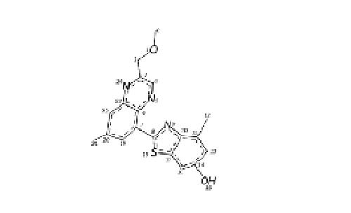 COCc1cnc2c(-c3nc4c(C)cc(O)cc4s3)cc(C)cc2n1